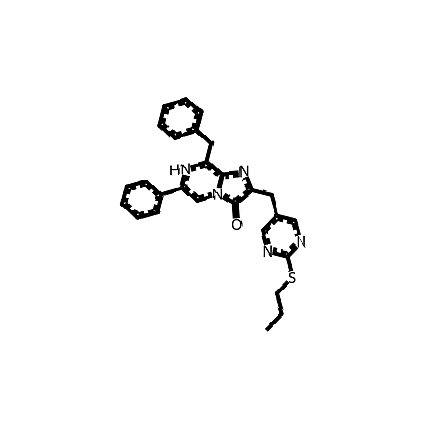 CCCSc1ncc(Cc2nc3c(Cc4ccccc4)[nH]c(-c4ccccc4)cn-3c2=O)cn1